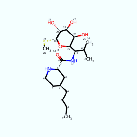 CCCC[C@H]1CCN[C@H](C(=O)N[C@H](C(C)C)[C@H]2O[C@H](SC)[C@H](O)[C@@H](O)[C@H]2O)C1